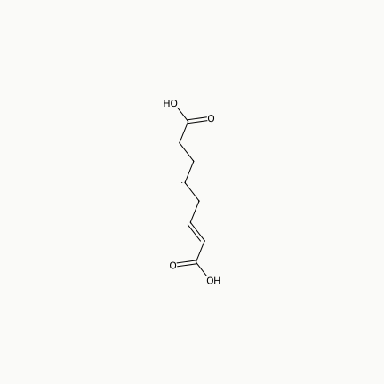 O=C(O)C=CC[CH]CCC(=O)O